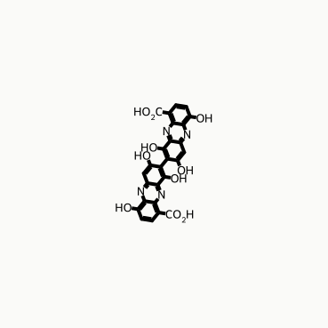 O=C(O)c1ccc(O)c2nc3cc(O)c(-c4c(O)cc5nc6c(O)ccc(C(=O)O)c6nc5c4O)c(O)c3nc12